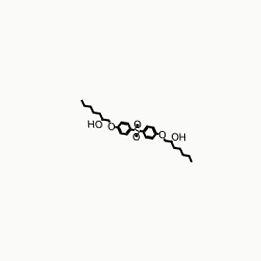 CCCCCC(O)COc1ccc(S(=O)(=O)c2ccc(OCC(O)CCCCC)cc2)cc1